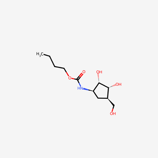 CCCCOC(=O)N[C@@H]1C[C@H](CO)[C@@H](O)[C@H]1O